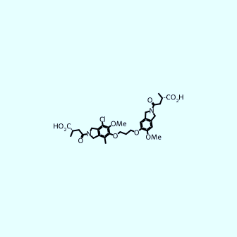 COc1cc2c(cc1OCCCOc1c(C)c3c(c(Cl)c1OC)CN(C(=O)C[C@H](C)C(=O)O)C3)CN(C(=O)C[C@H](C)C(=O)O)C2